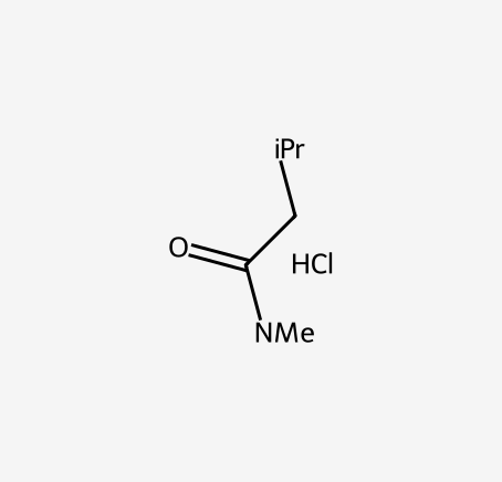 CNC(=O)CC(C)C.Cl